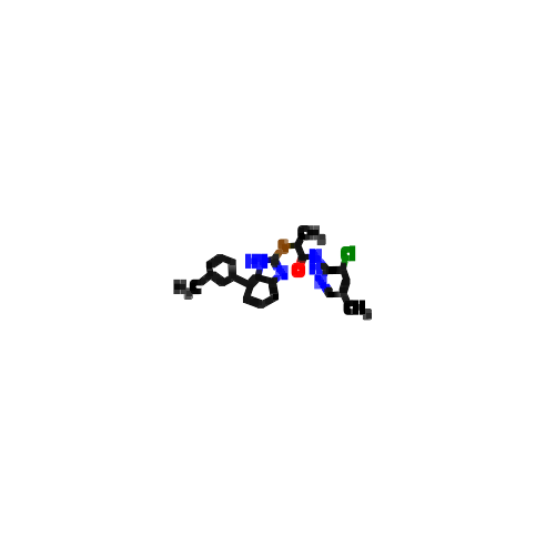 Cc1cccc(-c2cccc3nc(SC(C)C(=O)Nc4ncc(C)cc4Cl)[nH]c23)c1